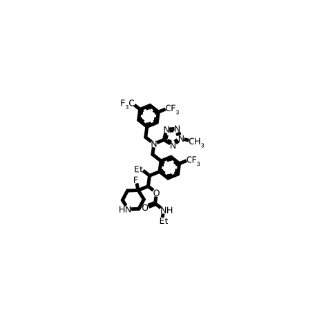 CCNC(=O)OC(C(CC)c1ccc(C(F)(F)F)cc1CN(Cc1cc(C(F)(F)F)cc(C(F)(F)F)c1)c1nnn(C)n1)C1(F)CCNCC1